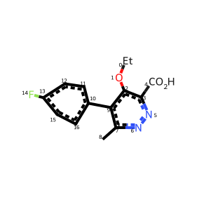 CCOc1c(C(=O)O)nnc(C)c1-c1ccc(F)cc1